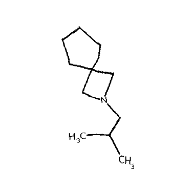 CC(C)CN1CC2(CCCC2)C1